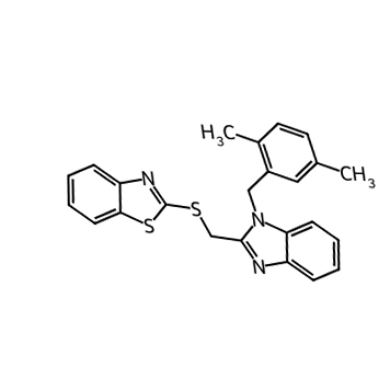 Cc1ccc(C)c(Cn2c(CSc3nc4ccccc4s3)nc3ccccc32)c1